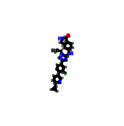 CCn1nc(-c2ccc(-c3ccc(C4CC4)nc3)c(F)c2)nc1Nc1ccc2c(c1)CNC2=O